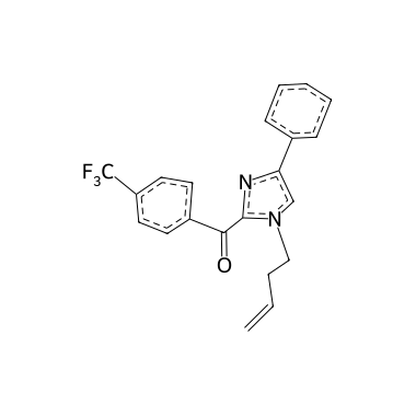 C=CCCn1cc(-c2ccccc2)nc1C(=O)c1ccc(C(F)(F)F)cc1